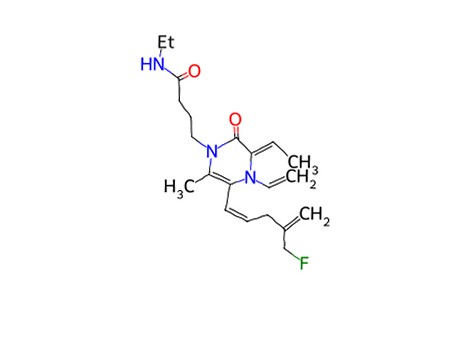 C=CN1C(/C=C\CC(=C)CF)=C(C)N(CCCC(=O)NCC)C(=O)/C1=C/C